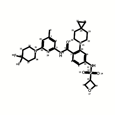 Cc1cc(NC(=O)c2ccc(NS(=O)(=O)C3COC3)cc2N2CCC3(CC2)CC3)nc(N2CCC(F)(F)CC2)c1